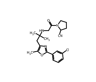 Cc1oc(-c2cccc(Cl)c2)nc1CC(C)(C)NCC(=O)N1CCCC1C#N